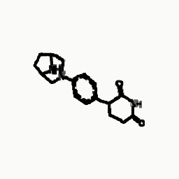 O=C1CCC(c2ccc(N3CC4CCC(C3)N4)cc2)C(=O)N1